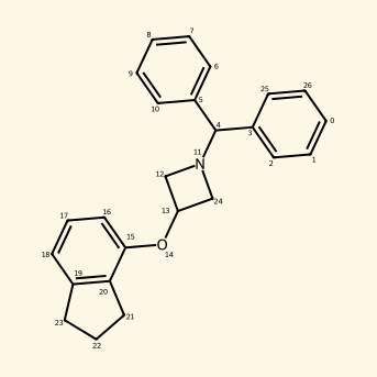 c1ccc(C(c2ccccc2)N2CC(Oc3cccc4c3CCC4)C2)cc1